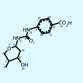 CC1COC(NC(=O)Nc2ccc(C(=O)O)cc2)CC1O